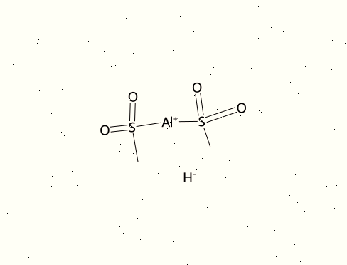 C[S](=O)(=O)[Al+][S](C)(=O)=O.[H-]